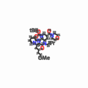 COCCCCc1c(C(=O)N(CC(C)C)[C@H]2C[C@@H](C(=O)N3CCOCC3)CN(C(=O)OC(C)(C)C)C2)nc2ccccn12